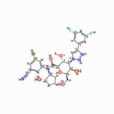 CO[C@@H]1[C@@H](n2cc(-c3cc(F)cc(F)c3)nn2)[C@@H](O)[C@@H](CO)O[C@H]1C(=O)N(c1cc(Br)cc(C#N)c1)[C@H]1CCC[C@@H]1O